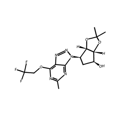 Cc1nc(OCC(F)(F)F)c2nnn([C@@H]3C[C@H](O)[C@H]4OC(C)(C)O[C@H]43)c2n1